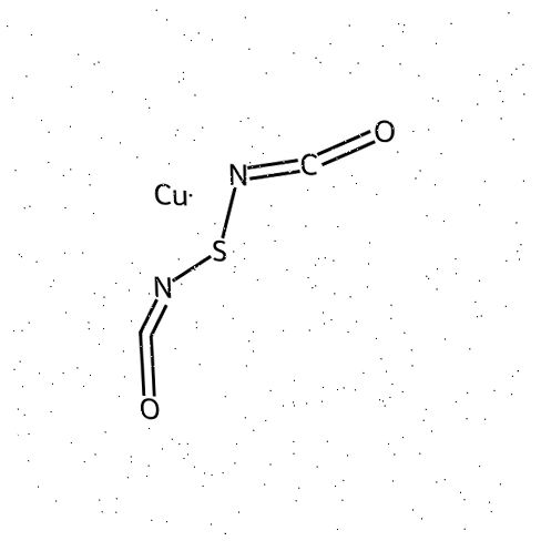 O=C=NSN=C=O.[Cu]